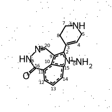 Nn1c(C2=CCNCC2)c2c3c(cccc31)C(=O)NN=C2